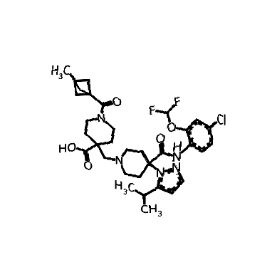 CC(C)c1ccnn1C1(C(=O)Nc2ccc(Cl)cc2OC(F)F)CCN(CC2(C(=O)O)CCN(C(=O)C34CC(C)(C3)C4)CC2)CC1